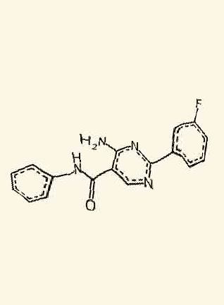 Nc1nc(-c2cccc(F)c2)ncc1C(=O)Nc1ccccc1